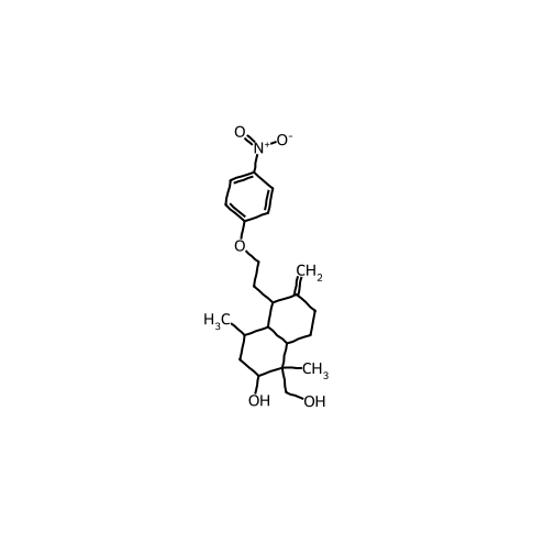 C=C1CCC2C(C(C)CC(O)C2(C)CO)C1CCOc1ccc([N+](=O)[O-])cc1